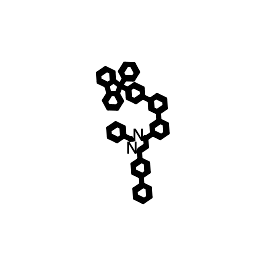 c1ccc(-c2ccc(-c3cc(-c4cccc(-c5cccc(-c6ccc(C7(c8ccccc8)c8ccccc8-c8ccccc87)cc6)c5)c4)nc(-c4ccccc4)n3)cc2)cc1